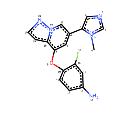 Cn1cncc1-c1cc(Oc2ccc(N)cc2F)c2ccnn2c1